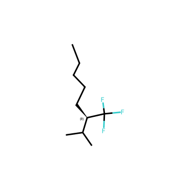 CCCCC[C@H](C(C)C)C(F)(F)F